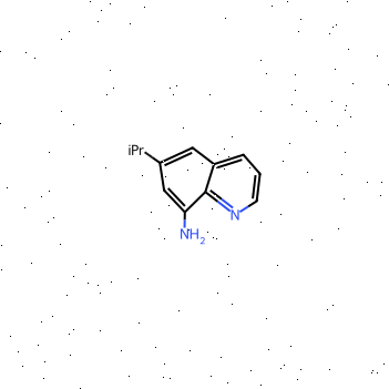 CC(C)c1cc(N)c2ncccc2c1